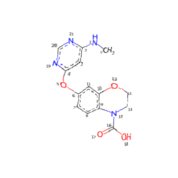 CNc1cc(Oc2ccc3c(c2)OCCN3C(=O)O)ncn1